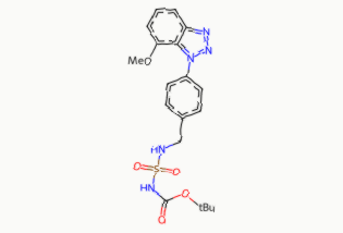 COc1cccc2nnn(-c3ccc(CNS(=O)(=O)NC(=O)OC(C)(C)C)cc3)c12